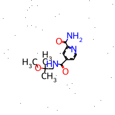 COC(C)(C)CNC(=O)c1[c]c(C(N)=O)ncc1